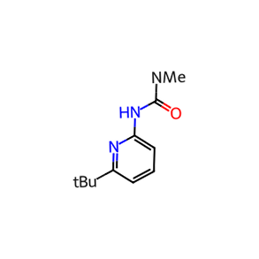 CNC(=O)Nc1cccc(C(C)(C)C)n1